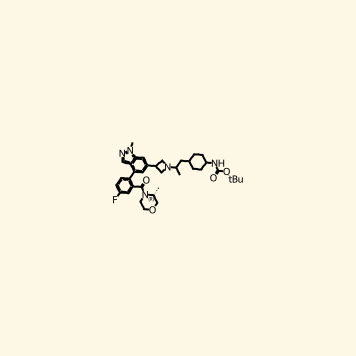 CC(CC1CCC(NC(=O)OC(C)(C)C)CC1)N1CC(c2cc(-c3ccc(F)cc3C(=O)N3CCOC[C@H]3C)c3cnn(C)c3c2)C1